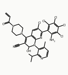 C=CC(=O)N1CCN(C2=C(C#N)C(O)N(c3c(C)ccnc3C(C)C)c3nc(-c4c(N)c(Cl)c(Cl)c(Cl)c4Cl)c(Cl)cc32)CC1